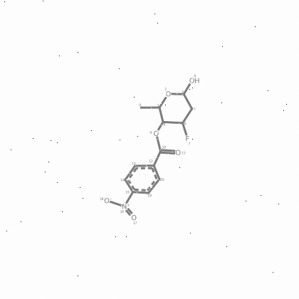 CC1OC(O)CC(F)C1OC(=O)c1ccc([N+](=O)[O-])cc1